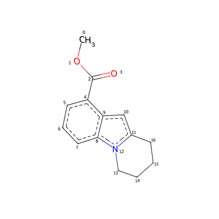 COC(=O)c1cccc2c1cc1n2CCCC1